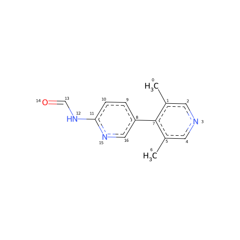 Cc1cncc(C)c1-c1ccc(NC=O)nc1